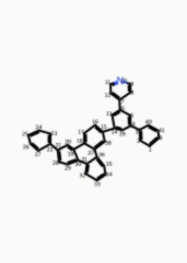 c1ccc(-c2cc(-c3ccncc3)cc(-c3ccc4c5cc(-c6ccccc6)ccc5c5ccccc5c4c3)c2)cc1